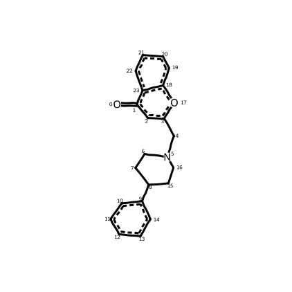 O=c1cc(CN2CCC(c3ccccc3)CC2)oc2ccccc12